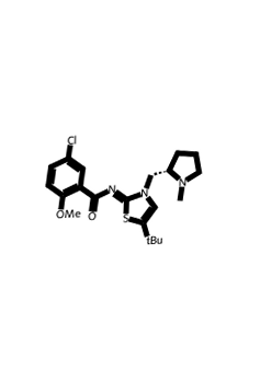 COc1ccc(Cl)cc1C(=O)/N=c1\sc(C(C)(C)C)cn1C[C@@H]1CCCN1C